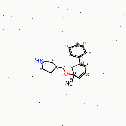 N#CC1(OCC2CCNC2)C=CC=C(c2ccccc2)C1